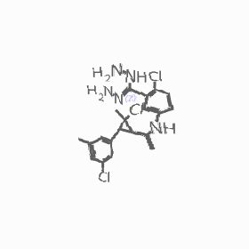 C=C(Nc1ccc(Cl)c(/C(=N/N)NN)c1)C1C(c2cc(C)cc(Cl)c2)C1(C)Cl